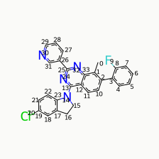 Cc1c(-c2ccccc2F)ccc2c(N3CCc4cc(Cl)ccc43)nc(-c3cccnc3)nc12